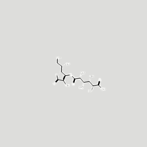 O=C1O[C@H]([C@@H](O)CO)C(OC(=O)[C@H](O)[C@@H](O)[C@H](O)[C@H](O)C(=O)O)=C1O